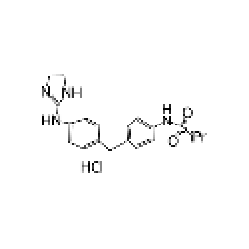 CC(C)S(=O)(=O)Nc1ccc(Cc2ccc(NC3=NCCN3)cc2)cc1.Cl